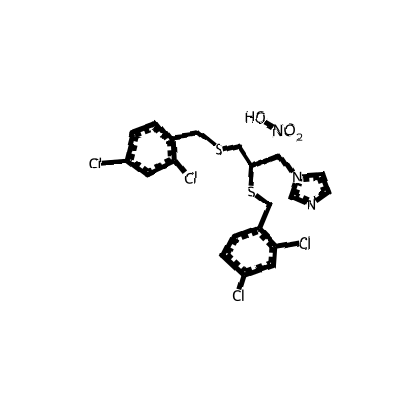 Clc1ccc(CSCC(Cn2ccnc2)SCc2ccc(Cl)cc2Cl)c(Cl)c1.O=[N+]([O-])O